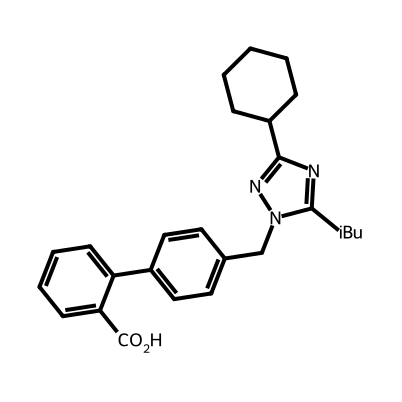 CCC(C)c1nc(C2CCCCC2)nn1Cc1ccc(-c2ccccc2C(=O)O)cc1